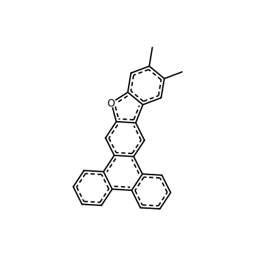 Cc1cc2oc3cc4c5ccccc5c5ccccc5c4cc3c2cc1C